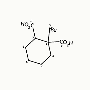 CC(C)(C)C1(C(=O)O)CCCCC1C(=O)O